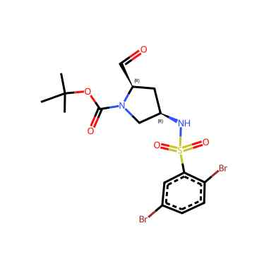 CC(C)(C)OC(=O)N1C[C@H](NS(=O)(=O)c2cc(Br)ccc2Br)C[C@@H]1C=O